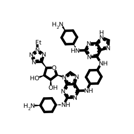 CCn1nnc([C@H]2O[C@@H](n3cnc4c(NC5CCC(Nc6nc(N[C@H]7CC[C@H](N)CC7)nc7[nH]cnc67)CC5)nc(N[C@H]5CC[C@H](N)CC5)nc43)[C@@H](O)[C@H]2O)n1